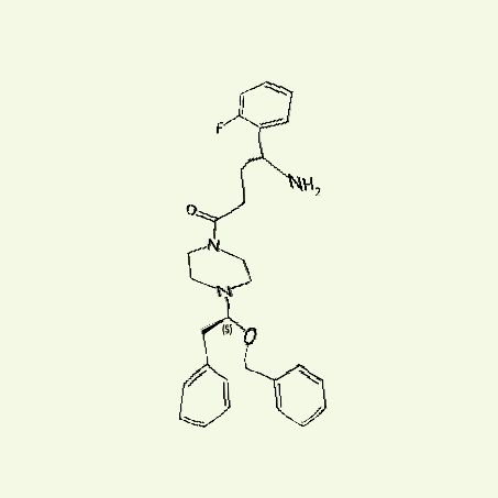 NC(CCC(=O)N1CCN([C@H](Cc2ccccc2)OCc2ccccc2)CC1)c1ccccc1F